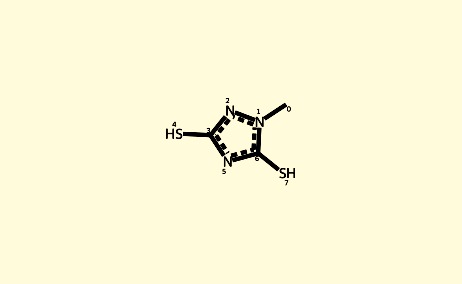 Cn1nc(S)nc1S